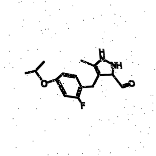 CC1=C(Cc2ccc(OC(C)C)cc2F)C(C=O)NN1